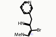 CN/C=C(/Br)C(=N)Cc1cccnc1